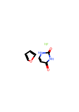 F.O=c1cc[nH]c(=O)[nH]1.c1ccoc1